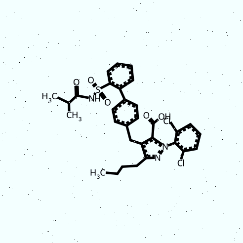 CCCCc1nn(-c2c(Cl)cccc2Cl)c(C(=O)O)c1Cc1ccc(-c2ccccc2S(=O)(=O)NC(=O)C(C)C)cc1